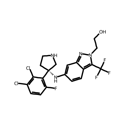 OCCn1nc2cc(N[C@]3(c4c(F)ccc(Cl)c4Cl)CCNC3)ccc2c1C(F)(F)F